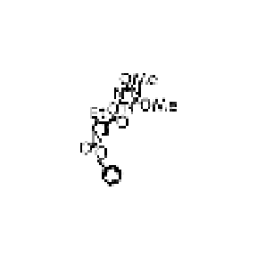 CCC1CN(C(=O)OCc2ccccc2)CC1C(=O)Oc1nc(OC)nc(OC)n1